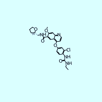 CCNC(=O)Nc1ccc(Oc2ccnc3cc(OC)c(C(=O)NC[C@@H]4CCCO4)cc23)cc1Cl